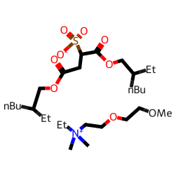 CCCCC(CC)COC(=O)CC(C(=O)OCC(CC)CCCC)S(=O)(=O)[O-].CC[N+](C)(C)CCOCCOC